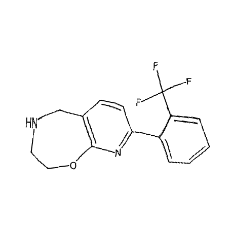 FC(F)(F)c1ccccc1-c1ccc2c(n1)OCCNC2